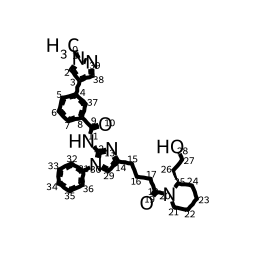 Cn1cc(-c2cccc(C(=O)Nc3nc(CCCC(=O)N4CCCC[C@@H]4CCO)cn3-c3ccccc3)c2)cn1